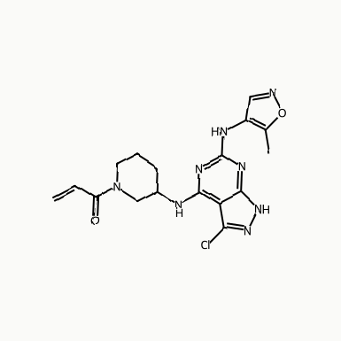 C=CC(=O)N1CCCC(Nc2nc(Nc3cnoc3C)nc3[nH]nc(Cl)c23)C1